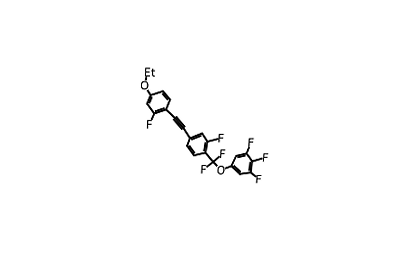 CCOc1ccc(C#Cc2ccc(C(F)(F)Oc3cc(F)c(F)c(F)c3)c(F)c2)c(F)c1